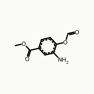 COC(=O)c1ccc(OC=O)c(N)c1